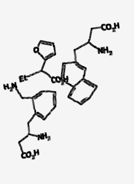 CCC(C(=O)O)c1ccco1.NC(CC(=O)O)Cc1ccc2ccccc2c1.NCc1ccccc1CC(N)CC(=O)O